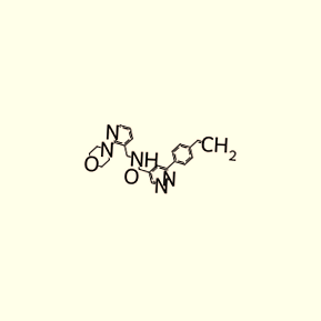 C=Cc1ccc(-c2cc(C(=O)NCc3cccnc3N3CCOCC3)cnn2)cc1